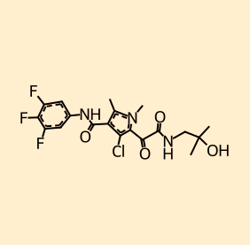 Cc1c(C(=O)Nc2cc(F)c(F)c(F)c2)c(Cl)c(C(=O)C(=O)NCC(C)(C)O)n1C